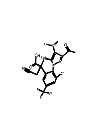 CC(=O)c1nn2c(c1[S+](C)[O-])NC(CC#N)(C(=O)O)c1cc(C(F)(F)F)cc(Cl)c1-2